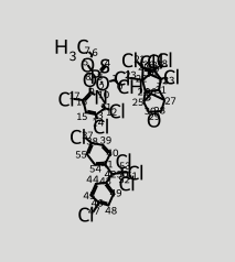 CCOP(=S)(OCC)Oc1nc(Cl)c(Cl)cc1Cl.ClC1=C(Cl)C2(Cl)C3C4CC(C5OC45)C3C1(Cl)C2(Cl)Cl.Clc1ccc(C(c2ccc(Cl)cc2)C(Cl)(Cl)Cl)cc1